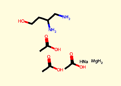 CC(=O)O.CC(=O)O.CC(=O)O.NCC(N)CCO.[MgH2].[NaH]